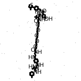 CC1=C(c2ccc(CNC(=O)C3CC(O)CN3C(=O)C(NC(=O)COCCOCCOCCOCCOCC(=O)NCCNc3ccc(Nc4nc(Nc5cccc(C)c5)c(C)[nH]4)cc3)C(C)(C)C)cc2)SCC1